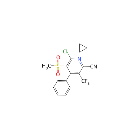 C1CC1.CS(=O)(=O)c1c(Cl)nc(C#N)c(C(F)(F)F)c1-c1ccccc1